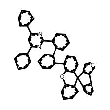 c1ccc(-c2cc(-c3ccccc3)nc(-c3ccccc3-c3ccccc3-c3cccc4c3Oc3ccccc3C43c4ccccc4-c4ccccc43)n2)cc1